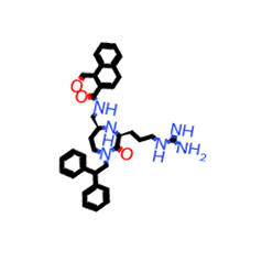 N=C(N)NCCC[C@@H]1N[C@H](CNC(=O)C2=CCc3ccccc3C2C=O)CCN(CC(c2ccccc2)c2ccccc2)C1=O